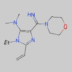 C=Cc1nc(C(=N)N2CCOCC2)c(N(C)C)n1CC